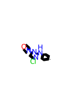 Clc1cc(N2CCOCC2)nc(Nc2cc[c]cc2)n1